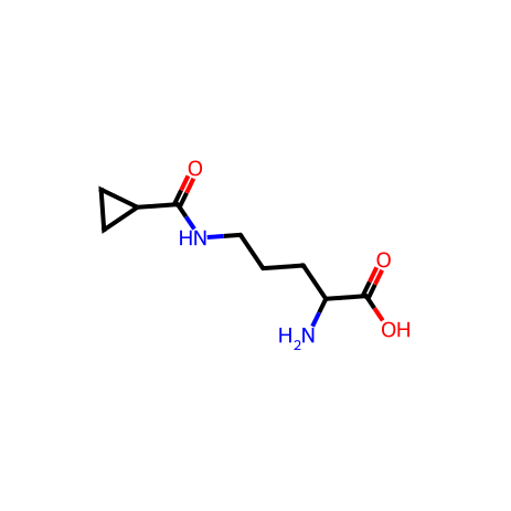 NC(CCCNC(=O)C1CC1)C(=O)O